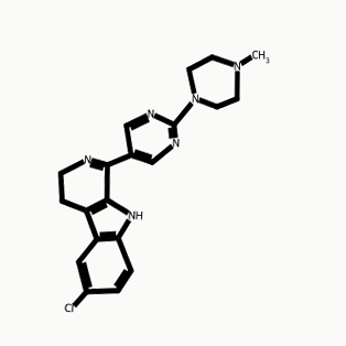 CN1CCN(c2ncc(C3=NCCc4c3[nH]c3ccc(Cl)cc43)cn2)CC1